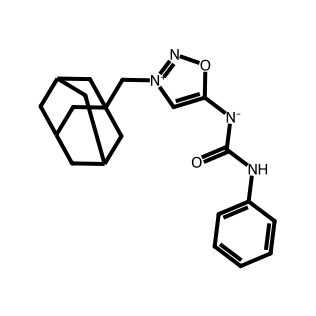 O=C([N-]c1c[n+](CC23CC4CC(CC(C4)C2)C3)no1)Nc1ccccc1